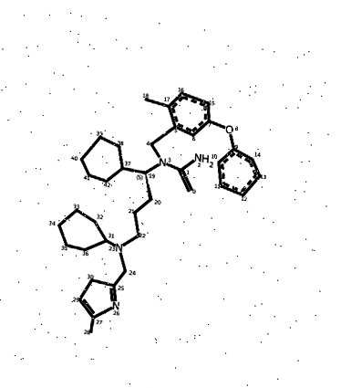 C=C(N)N(Cc1cc(Oc2ccccc2)ccc1C)[C@@H](CCCN(CC1=NC(C)=CC1)C1CCCCC1)C1CCCCC1